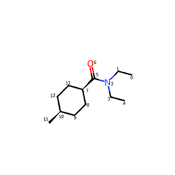 CCN(CC)C(=O)[C@H]1CC[C@@H](C)CC1